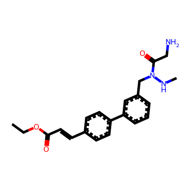 CCOC(=O)/C=C/c1ccc(-c2cccc(CN(NC)C(=O)CN)c2)cc1